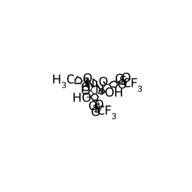 Cc1ccc(S(=O)(=O)n2ccc(-n3cccc3C(=O)c3ccc(OS(=O)(=O)C(F)(F)F)cc3O)c2C(=O)c2ccc(OS(=O)(=O)C(F)(F)F)cc2O)cc1